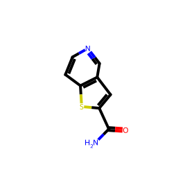 NC(=O)c1cc2cnccc2s1